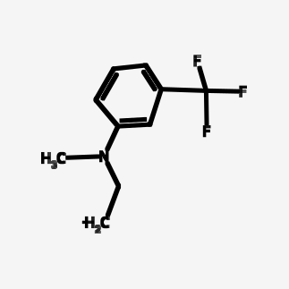 [CH2]CN(C)c1cccc(C(F)(F)F)c1